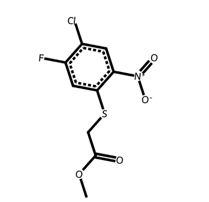 COC(=O)CSc1cc(F)c(Cl)cc1[N+](=O)[O-]